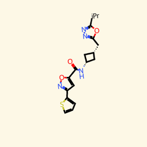 CC(C)c1nnc(C[C@H]2C[C@@H](NC(=O)c3cc(-c4cccs4)no3)C2)o1